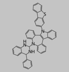 c1ccc(C2NC(N3c4ccccc4-c4c(n(-c5ccc6c(c5)sc5ccccc56)c5ccccc45)-c4ccccc43)Nc3ccccc32)cc1